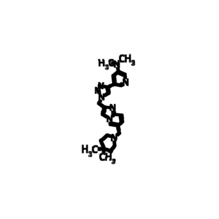 CN(C)c1cncc(-c2cn(Cc3cn4cc(CN5CCC(C)(C)CC5)ccc4n3)nn2)c1